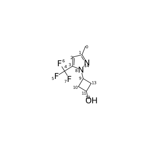 Cc1cc(C(F)(F)F)n(C2CC(O)C2)n1